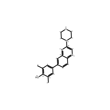 Cc1cc(-c2ccc3ncc(N4CCOCC4)nc3c2)cc(C)c1O